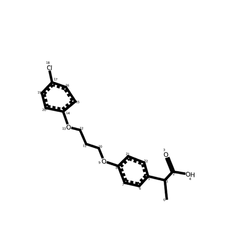 CC(C(=O)O)c1ccc(OCCCOc2ccc(Cl)cc2)cc1